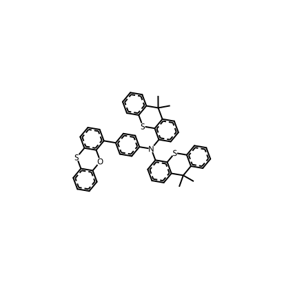 CC1(C)c2ccccc2Sc2c(N(c3ccc(-c4cccc5c4Oc4ccccc4S5)cc3)c3cccc4c3Sc3ccccc3C4(C)C)cccc21